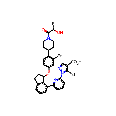 CCc1cc(OC2CCc3cccc(-c4cccc(-n5ncc(C(=O)O)c5CC)n4)c32)ccc1C1CCN(C(=O)C(O)CC)CC1